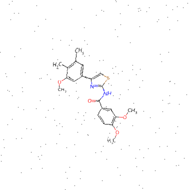 COc1ccc(C(=O)Nc2nc(-c3cc(C)c(C)c(OC)c3)cs2)cc1OC